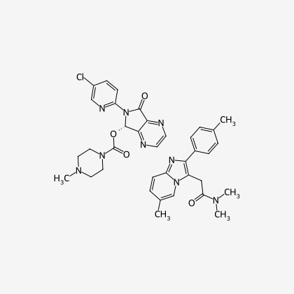 CN1CCN(C(=O)O[C@H]2c3nccnc3C(=O)N2c2ccc(Cl)cn2)CC1.Cc1ccc(-c2nc3ccc(C)cn3c2CC(=O)N(C)C)cc1